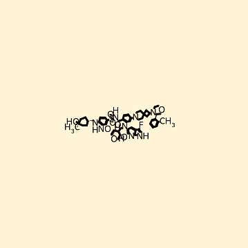 Cc1ccccc1[C@@H]1COCCN1C1CC2(CCN(c3ccc(C(=O)NS(=O)(=O)c4ccc(NC[C@H]5CC[C@](C)(O)CC5)c([N+](=O)[O-])c4)c(N4C[C@H]5CCOC[C@@H]5Oc5nc6[nH]cc(F)c6cc54)c3)CC2)C1